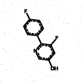 Oc1cnc(-c2ccc(F)cc2)c(F)c1